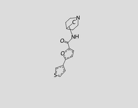 O=C(NC1CN2CCC1CC2)c1ccc(-c2ccsc2)o1